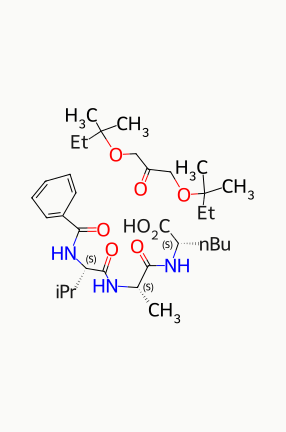 CCC(C)(C)OCC(=O)COC(C)(C)CC.CCCC[C@H](NC(=O)[C@H](C)NC(=O)[C@@H](NC(=O)c1ccccc1)C(C)C)C(=O)O